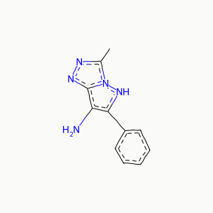 Cc1nnc2c(N)c(-c3ccccc3)[nH]n12